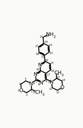 CC1COCCN1c1nc(N2CCOCC2C)c2ccc(-c3ccc(CN)cc3)nc2n1